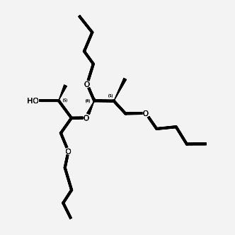 CCCCOCC(O[C@@H](OCCCC)[C@@H](C)COCCCC)[C@H](C)O